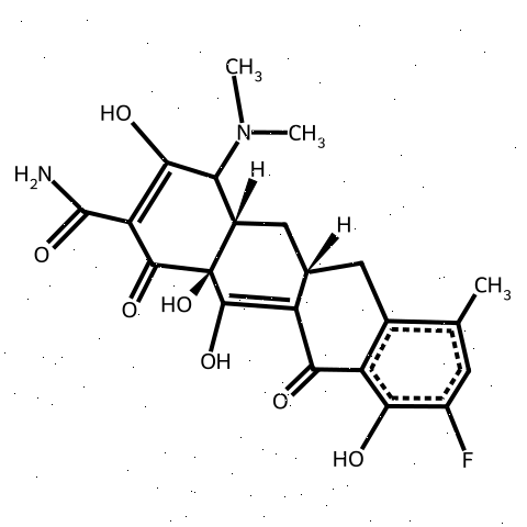 Cc1cc(F)c(O)c2c1C[C@H]1C[C@H]3C(N(C)C)C(O)=C(C(N)=O)C(=O)[C@@]3(O)C(O)=C1C2=O